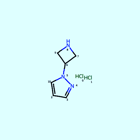 Cl.Cl.c1cnn(C2CNC2)c1